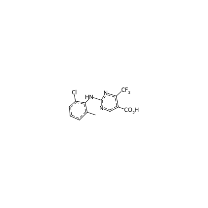 Cc1cccc(Cl)c1Nc1ncc(C(=O)O)c(C(F)(F)F)n1